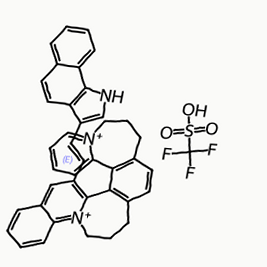 C(=C\c1c[nH]c2c1ccc1ccccc12)/c1cc2ccccc2[n+]2c1-c1c(ccc3c1-c1cccc[n+]1CCC3)CCC2.O=S(=O)(O)C(F)(F)F